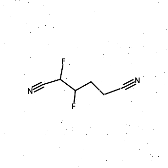 N#CCCC(F)C(F)C#N